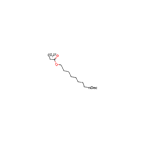 CCCCCCCCCCCCCCCCCCOC(=O)CC(=O)OCC